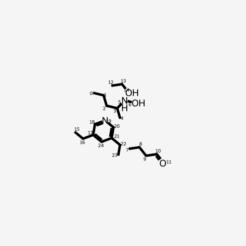 CCCC(C)NO.CCCC=O.CCO.CCc1cncc(CC)c1